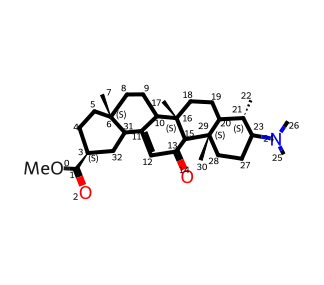 COC(=O)[C@H]1CC[C@]2(C)CCC3C(=CC(=O)C4[C@@]3(C)CCC3[C@H](C)C(N(C)C)CC[C@@]34C)C2C1